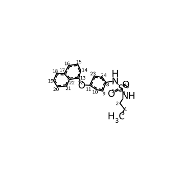 CCCNS(=O)(=O)Nc1ccc(Oc2cccc3ccccc23)cc1